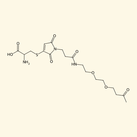 CC(=O)CCOCCOCCNC(=O)CCN1C(=O)C=C(SCC(N)C(=O)O)C1=O